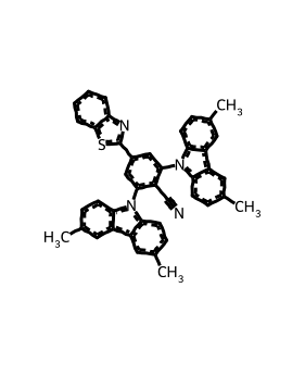 Cc1ccc2c(c1)c1cc(C)ccc1n2-c1cc(-c2nc3ccccc3s2)cc(-n2c3ccc(C)cc3c3cc(C)ccc32)c1C#N